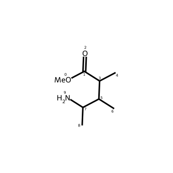 COC(=O)C(C)C(C)C(C)N